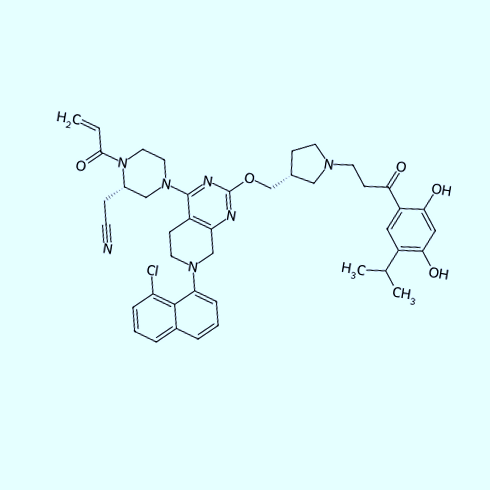 C=CC(=O)N1CCN(c2nc(OC[C@@H]3CCN(CCC(=O)c4cc(C(C)C)c(O)cc4O)C3)nc3c2CCN(c2cccc4cccc(Cl)c24)C3)C[C@@H]1CC#N